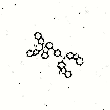 c1ccc2c(c1)-c1c(-c3ccc(N(c4ccc5oc6ccccc6c5c4)c4ccc5sc6ccccc6c5c4)cc3)cccc1C21c2ccc3ccccc3c2Oc2c1ccc1ccccc21